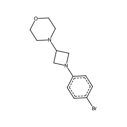 Brc1ccc(N2CC(N3CCOCC3)C2)cc1